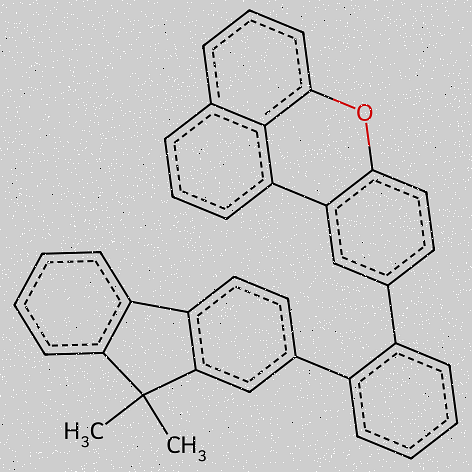 CC1(C)c2ccccc2-c2ccc(-c3ccccc3-c3ccc4c(c3)-c3cccc5cccc(c35)O4)cc21